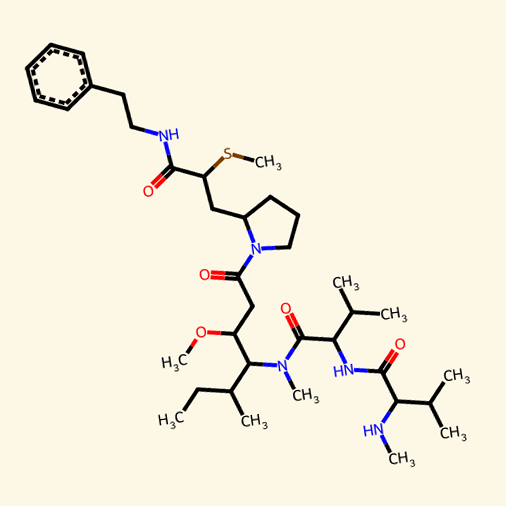 CCC(C)C(C(CC(=O)N1CCCC1CC(SC)C(=O)NCCc1ccccc1)OC)N(C)C(=O)C(NC(=O)C(NC)C(C)C)C(C)C